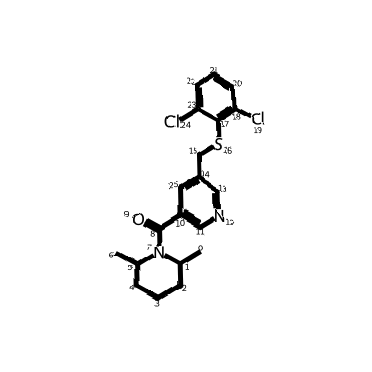 CC1CCCC(C)N1C(=O)c1cncc(CSc2c(Cl)cccc2Cl)c1